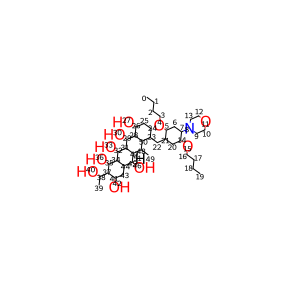 CCCCOC1CC(N2CCOCC2)C(OCCCC)CC1CC1CCC(O)C2C(O)C3C(O)C4C(O)C(C(C)O)C(O)CC4C(O)[C@@H]3C(C)C12